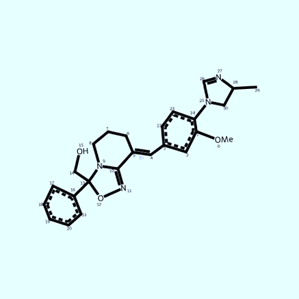 COc1cc(/C=C2\CCCN3C2=NOC3(CO)c2ccccc2)ccc1N1C=NC(C)C1